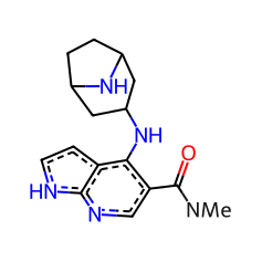 CNC(=O)c1cnc2[nH]ccc2c1NC1CC2CCC(C1)N2